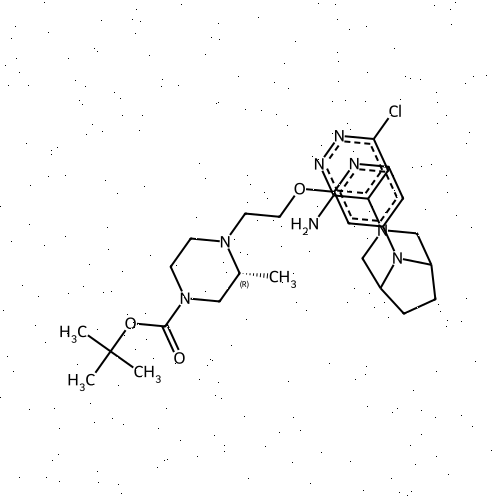 C[C@@H]1CN(C(=O)OC(C)(C)C)CCN1CCOc1cc(N2C3CCC2CN(c2cc(Cl)nnc2N)C3)ccn1